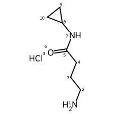 Cl.NCCCC(=O)NC1CC1